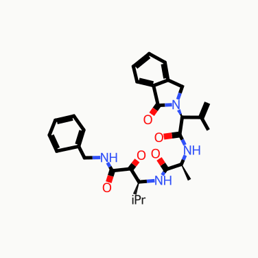 C=C(C)[C@@H](C(=O)N[C@@H](C)C(=O)N[C@H](C(=O)C(=O)NCc1ccccc1)C(C)C)N1Cc2ccccc2C1=O